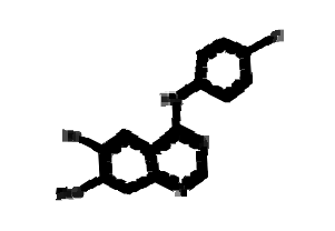 COc1cc2ncnc(Nc3ccc(Cl)cc3)c2cc1O